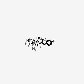 CC(C)(C)[Si](C)(C)OCC(Cc1ccc(F)cc1)C(=O)O